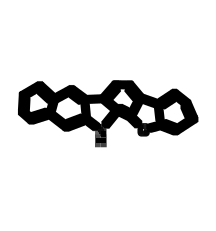 c1ccc2cc3c(cc2c1)[nH]c1c3ccc2c3ccccc3oc21